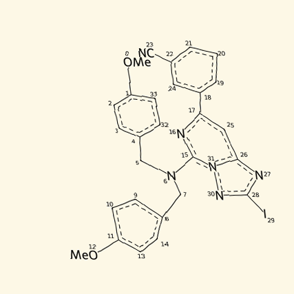 COc1ccc(CN(Cc2ccc(OC)cc2)c2nc(-c3cccc(C#N)c3)cc3nc(I)nn23)cc1